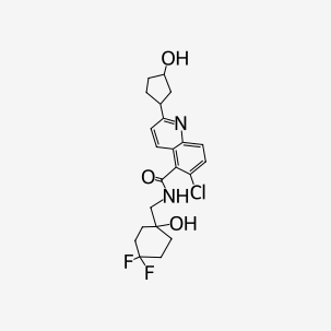 O=C(NCC1(O)CCC(F)(F)CC1)c1c(Cl)ccc2nc(C3CCC(O)C3)ccc12